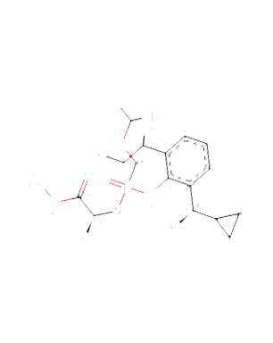 CCC(C)c1cccc([C@H](C)C2CC2)c1OP(=O)(COC(C)C)N[C@@H](C)C(=O)OC